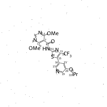 COc1ncnc(OC)c1C(=O)Nc1nc(C(F)(F)F)c(-c2cncc(OC(C)C)c2)s1